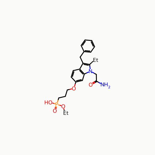 CCOP(=O)(O)CCCOc1ccc2c(Cc3ccccc3)c(CC)n(CC(N)=O)c2c1